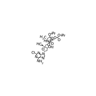 C#C[C@]1(COP(=O)(N[C@H](C)C(=O)OC(C)C)OCOC(=O)OC(C)C)O[C@@H](n2cnc3c(N)nc(Cl)nc32)C[C@@H]1O